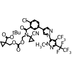 Cn1nc(C(F)(F)C(F)(F)F)c(C(F)(F)F)c1-n1cc(-c2ccc(Cl)c(C(=O)N(COC(=O)OCC3(C(=O)OC(C)(C)C)CC3)C3(C#N)CC3)c2)cn1